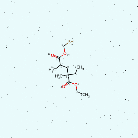 CCOC(=O)C(C)(CC)CC(C)C(=O)OCS